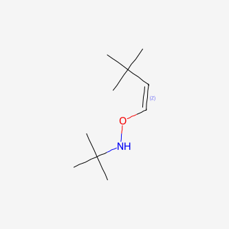 CC(C)(C)/C=C\ONC(C)(C)C